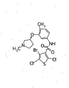 Cc1ccc(NS(=O)(=O)c2c(Cl)sc(Cl)c2Br)cc1O[C@H]1CCN(C)C1